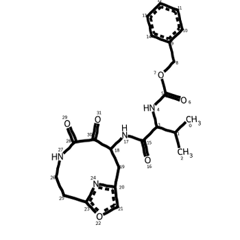 CC(C)C(NC(=O)OCc1ccccc1)C(=O)NC1Cc2coc(n2)CCNC(=O)C1=O